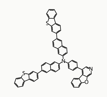 c1ccc2c(c1)oc1cncc(-c3ccc(N(c4ccc5cc(-c6ccc7c(c6)sc6ccccc67)ccc5c4)c4ccc5cc(-c6ccc7c(c6)sc6ccccc67)ccc5c4)cc3)c12